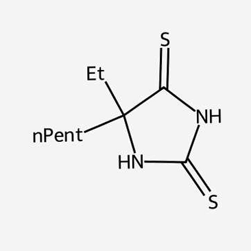 CCCCCC1(CC)NC(=S)NC1=S